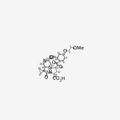 COCCOc1ccc(S(=O)(=O)C2CC(C(=O)O)N(C(=O)C3(c4ccc(Cl)nc4)CC3)C2)c(Cl)c1